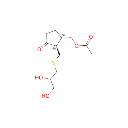 CC(=O)OC[C@H]1CCC(=O)[C@@H]1CSCC(O)CO